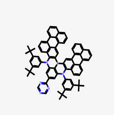 CC(C)(C)c1cc(N2c3cc(-c4ncncn4)cc4c3B(c3cc5c6cccc7cccc(c8cccc(c32)c85)c76)c2cc3c5cccc6cccc(c7cccc(c2N4c2cc(C(C)(C)C)cc(C(C)(C)C)c2)c73)c65)cc(C(C)(C)C)c1